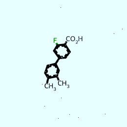 Cc1ccc(-c2ccc(C(=O)O)c(F)c2)cc1C